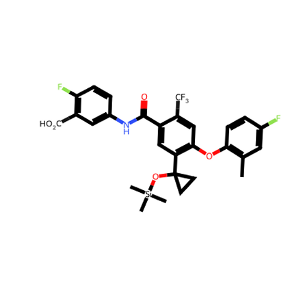 Cc1cc(F)ccc1Oc1cc(C(F)(F)F)c(C(=O)Nc2ccc(F)c(C(=O)O)c2)cc1C1(O[Si](C)(C)C)CC1